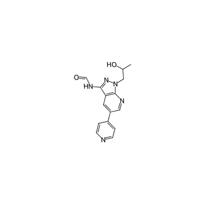 CC(O)Cn1nc(NC=O)c2cc(-c3ccncc3)cnc21